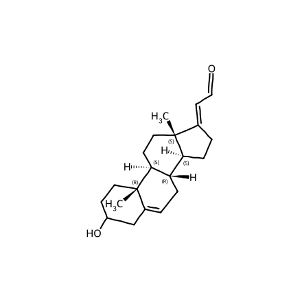 C[C@]12CCC(O)CC1=CC[C@@H]1[C@@H]2CC[C@]2(C)C(=CC=O)CC[C@@H]12